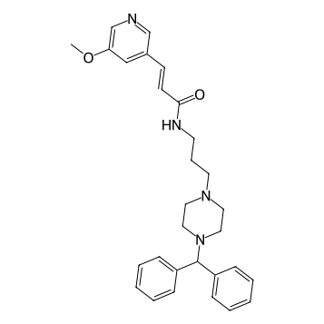 COc1cncc(C=CC(=O)NCCCN2CCN(C(c3ccccc3)c3ccccc3)CC2)c1